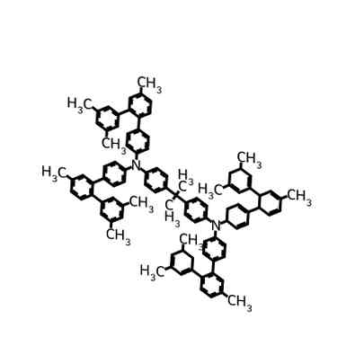 CC1=CC(C)CC(c2ccc(C)cc2-c2ccc(N(c3ccc(C(C)(C)c4ccc(N(c5ccc(-c6ccc(C)cc6-c6cc(C)cc(C)c6)cc5)c5ccc(-c6cc(C)ccc6-c6cc(C)cc(C)c6)cc5)cc4)cc3)C3C=CC(C4C=CC(C)=CC4C4=CC(C)CC(C)=C4)=CC3)cc2)=C1